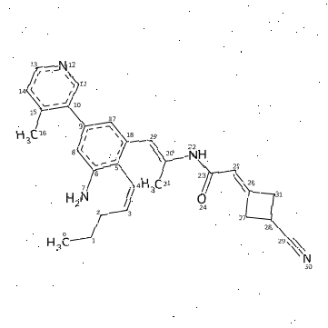 CCC/C=C\c1c(N)cc(-c2cnccc2C)cc1/C=C(\C)NC(=O)C=C1CC(C#N)C1